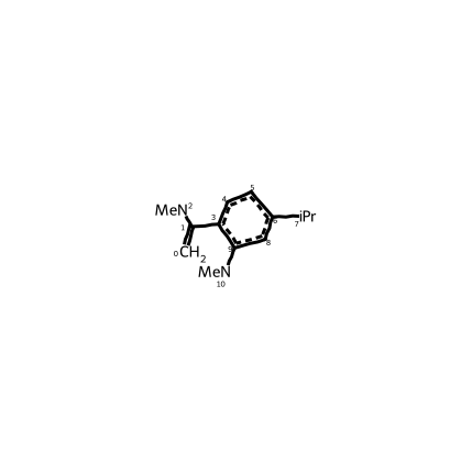 C=C(NC)c1ccc(C(C)C)cc1NC